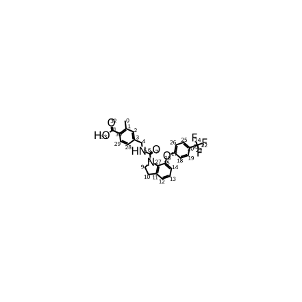 Cc1cc(CNC(=O)N2CCc3cccc(Oc4ccc(C(F)(F)F)cc4)c32)ccc1C(=O)O